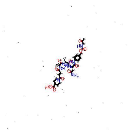 CC(=O)CNC(=O)OCc1ccc(NC(=O)[C@H](CC(N)=O)NC(=O)[C@H](C)NC(=O)[C@H](C)NC(=O)CCC(=O)N2CCC(C(=O)O)CC2)cc1